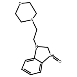 O=[Se]1CN(CCN2CCOCC2)c2ccccc21